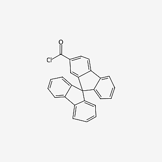 O=C(Cl)c1ccc2c(c1)C1(c3ccccc3-c3ccccc31)c1ccccc1-2